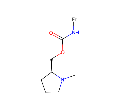 CCNC(=O)OC[C@@H]1CCCN1C